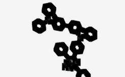 N=C(/N=C(/c1ccc(-n2c3ccccc3c3ccc(-c4ccc5c(c4)c4ccccc4n5-c4ccccc4)cc32)cc1)[C@H](N)c1ccccc1)c1ccccc1